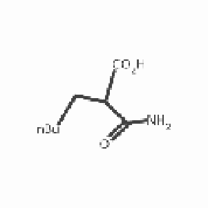 CCCCCC(C(N)=O)C(=O)O